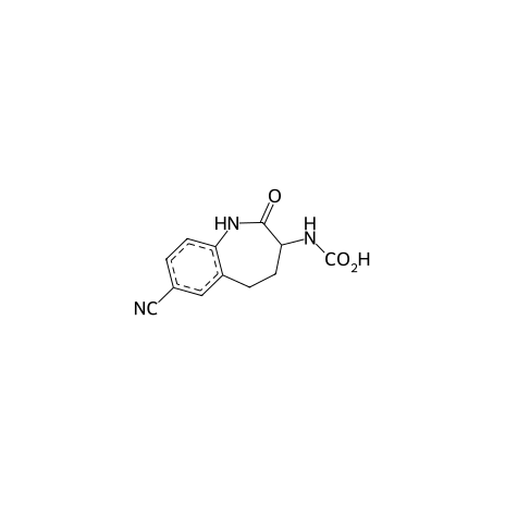 N#Cc1ccc2c(c1)CCC(NC(=O)O)C(=O)N2